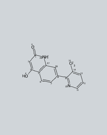 O=c1cc(O)c2ccc(-c3ncccc3C(F)(F)F)cc2[nH]1